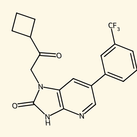 O=C(Cn1c(=O)[nH]c2ncc(-c3cccc(C(F)(F)F)c3)cc21)C1CCC1